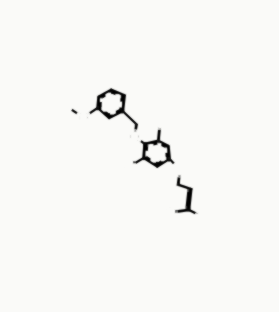 COc1cccc(COc2c(Cl)cc(OCC=C(Cl)Cl)cc2Cl)c1